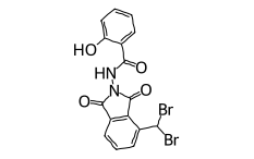 O=C(NN1C(=O)c2cccc(C(Br)Br)c2C1=O)c1ccccc1O